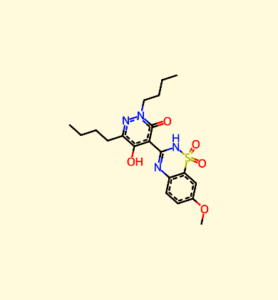 CCCCc1nn(CCCC)c(=O)c(C2=Nc3ccc(OC)cc3S(=O)(=O)N2)c1O